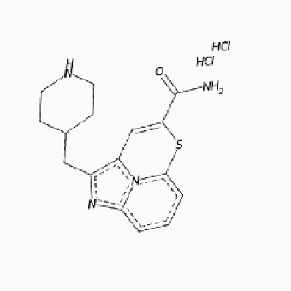 Cl.Cl.NC(=O)C1=Cc2c(CC3CCNCC3)nc3cccc(n23)S1